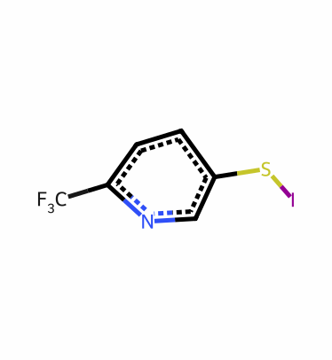 FC(F)(F)c1ccc(SI)cn1